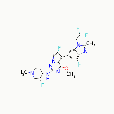 COc1nc(N[C@H]2CCN(C)C[C@H]2F)nn2cc(F)c(-c3cc(F)c4nc(C)n(CC(F)F)c4c3)c12